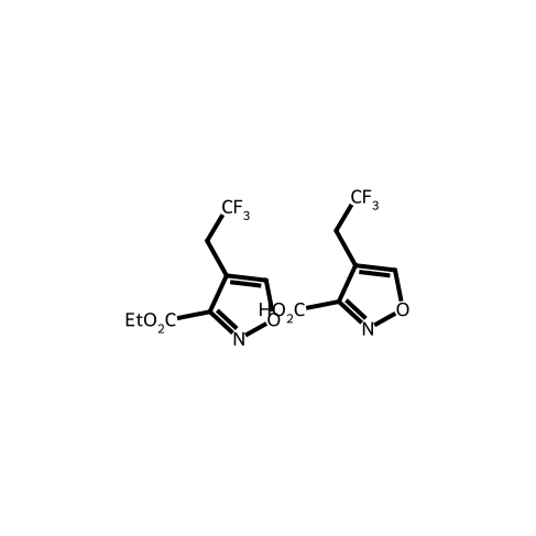 CCOC(=O)c1nocc1CC(F)(F)F.O=C(O)c1nocc1CC(F)(F)F